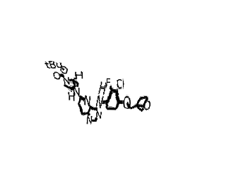 CC(C)(C)OC(=O)N1C[C@@H]2C[C@H]1CN2c1ccc2ncnc(Nc3ccc(OCC45COC(C4)C5)c(Cl)c3F)c2n1